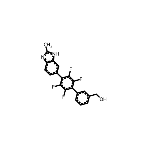 Cc1nc2ccc(-c3c(F)c(F)c(-c4cccc(CO)c4)c(F)c3F)cc2[nH]1